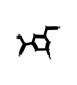 O=Cc1cc(I)cc(C(=O)O)c1